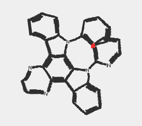 c1ccc(-n2c3ccccc3c3c4nccnc4c4c5ccccc5n(-c5ccccn5)c4c32)cc1